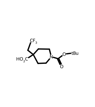 CC(C)(C)OC(=O)N1CCC(CC(F)(F)F)(C(=O)O)CC1